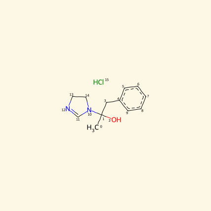 CC(O)(Cc1ccccc1)N1C=NCC1.Cl